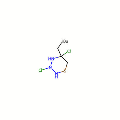 CCC(C)CC1(Cl)CSNN(Cl)N1